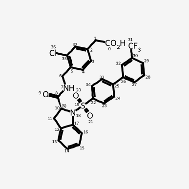 O=C(O)Cc1ccc(CNC(=O)[C@@H]2Cc3ccccc3N2S(=O)(=O)c2ccc(-c3cccc(C(F)(F)F)c3)cc2)c(Cl)c1